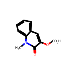 Cn1c(=O)c(OC(=O)O)cc2ccccc21